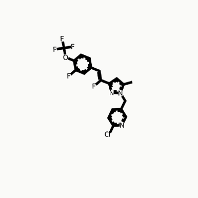 Cc1cc(C(F)=Cc2ccc(OC(F)(F)F)c(F)c2)nn1Cc1ccc(Cl)nc1